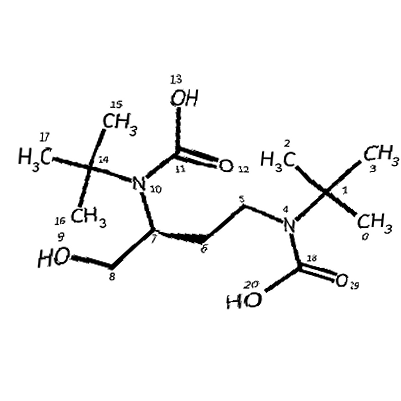 CC(C)(C)N(CC[C@@H](CO)N(C(=O)O)C(C)(C)C)C(=O)O